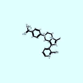 Cc1nc(-c2cccnc2C(C)C)c2n1CCN(c1ccc(C(N)=O)cc1)C2